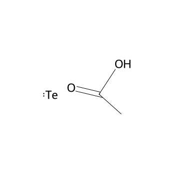 CC(=O)O.[Te]